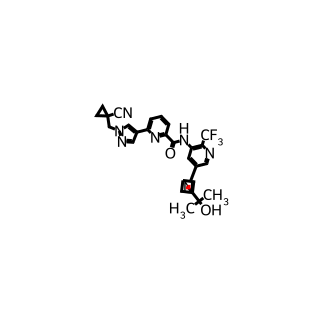 CC(C)(O)C12CC(C1)N(c1cnc(C(F)(F)F)c(NC(=O)c3cccc(-c4cnn(CC5(C#N)CC5)c4)n3)c1)C2